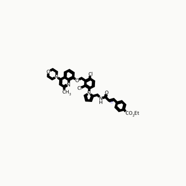 CCOC(=O)c1ccc(/C=C/C(=O)NCc2cccn2-c2ccc(Cl)c(COc3cccc4c(N5CCOCC5)cc(C)nc34)c2Cl)cc1